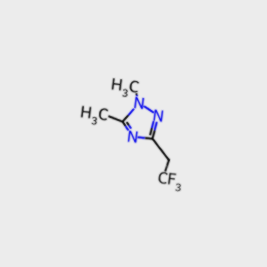 Cc1nc(CC(F)(F)F)nn1C